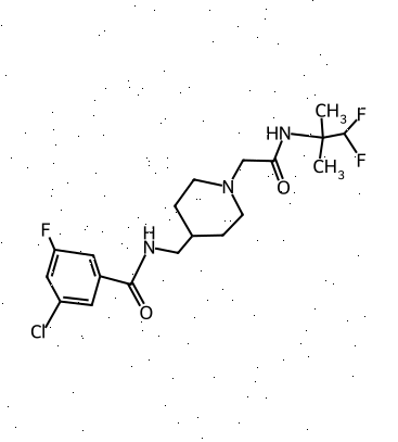 CC(C)(NC(=O)CN1CCC(CNC(=O)c2cc(F)cc(Cl)c2)CC1)C(F)F